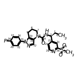 CC[C@H](NC(=O)N1CCCc2c1cnn2-c1ccc(F)cc1)c1ccnc(S(C)(=O)=O)c1